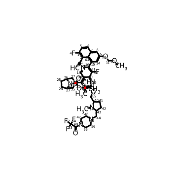 C#Cc1c(F)ccc2cc(OCOC)cc(-c3ncc4c(N5CC6CCC(C5)N6C(=O)OC(C)(C)C)nc(OCC5CCC(CN6CCN(C(=O)C(F)(F)F)CC6)N5C)nc4c3F)c12